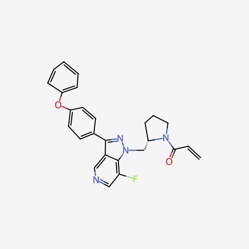 C=CC(=O)N1CCC[C@H]1Cn1nc(-c2ccc(Oc3ccccc3)cc2)c2cncc(F)c21